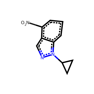 O=[N+]([O-])c1cccc2c1cnn2C1CC1